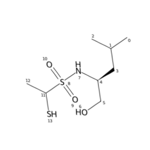 CC(C)C[C@@H](CO)NS(=O)(=O)C(C)S